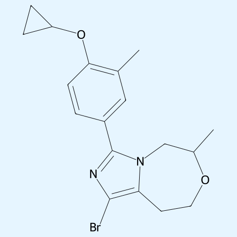 Cc1cc(-c2nc(Br)c3n2CC(C)OCC3)ccc1OC1CC1